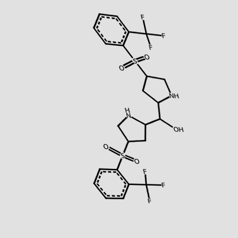 O=S(=O)(c1ccccc1C(F)(F)F)C1CNC(C(O)C2CC(S(=O)(=O)c3ccccc3C(F)(F)F)CN2)C1